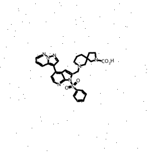 O=C(O)N1CCC2(CCCN(Cc3cc4c(-c5cnn6ncccc56)ccnc4n3S(=O)(=O)c3ccccc3)C2)C1